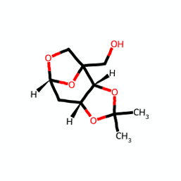 CC1(C)O[C@@H]2[C@@H](C[C@@H]3OCC2(CO)O3)O1